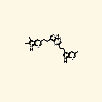 Cc1cnc2[nH]cc(CCc3cnc4[nH]cc(CCc5cnc6[nH]c(C)c(C)c6c5)c4n3)c2c1